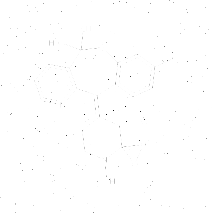 CN1CCC(=C2c3ccc(Cl)cc3SC(C)(C)c3cccnc32)CC12OO2